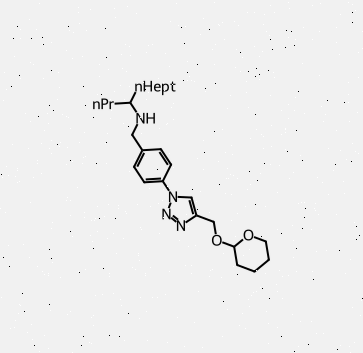 CCCCCCCC(CCC)NCc1ccc(-n2cc(COC3CCCCO3)nn2)cc1